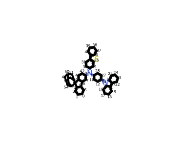 c1ccc2c(c1)-c1cc(N(c3ccc(-n4c5ccccc5c5ccccc54)cc3)c3ccc4c(c3)sc3ccccc34)ccc1C21C2CC3CC(C2)CC1C3